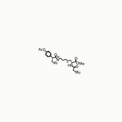 COC(=O)[C@H](CSCCCNC(=O)[C@@H](CC(C)C)c1ccc(OC(C)=O)cc1)NC(=O)CC(C)(C)C